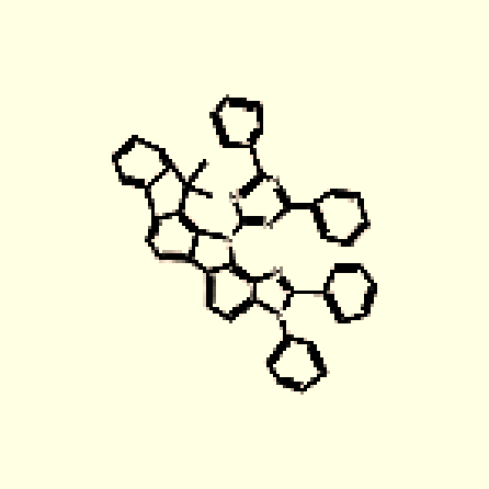 CC1(C)c2ccccc2-c2ccc3c4ccc5c(nc(-c6ccccc6)n5-c5ccccc5)c4n(-c4nc(-c5ccccc5)nc(-c5ccccc5)n4)c3c21